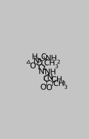 CC(C)(N)c1cnc(OC2CC2)c2cnc(Nc3ccc4c(n3)C(C)(C)COC4=O)cc12